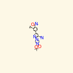 CN(C)C(=O)c1ccc(-c2cnc(N3CCN(C(=O)OC(C)(C)C)CC3)c(C#N)c2)cc1C1CC1